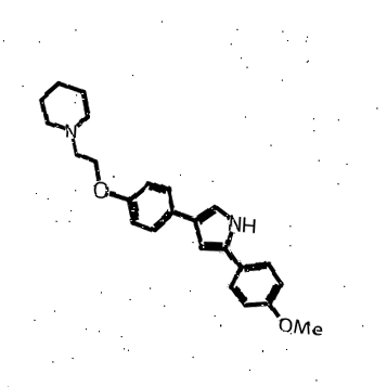 COc1ccc(-c2cc(-c3ccc(OCCN4CCCCC4)cc3)c[nH]2)cc1